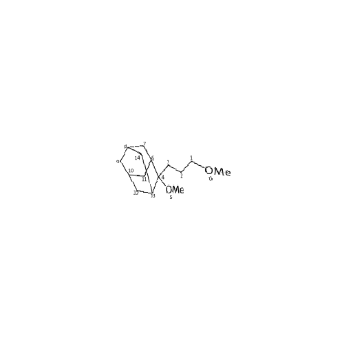 COCCCC1(OC)C2CC3CC(C2)CC1C3